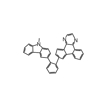 Cn1c2ccccc2c2cc(-c3ccccc3-c3ccc4c(c3)c3ccccc3c3nccnc43)ccc21